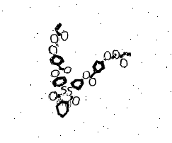 C=CC(=O)OCOc1ccc(C(=O)Oc2ccc(SC(=O)[C@H]3CCCC[C@@H]3C(=O)Sc3ccc(OC(=O)c4ccc(OCOC(=O)C=C)cc4)cc3)cc2)cc1